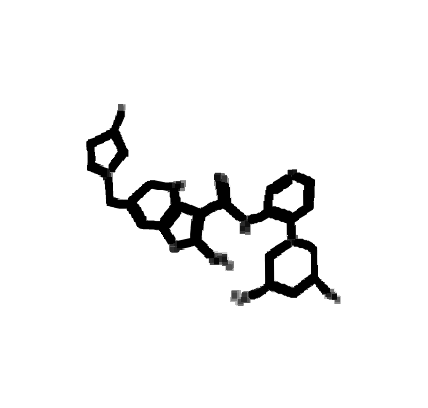 Nc1oc2c(c1C(=O)Nc1cnccc1N1C[C@@H](N)C[C@@H](C(F)(F)F)C1)NCC(CN1CC[C@@H](F)C1)=C2